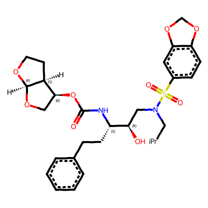 CC(C)CN(C[C@@H](O)[C@H](CCc1ccccc1)NC(=O)O[C@H]1CO[C@H]2OCC[C@H]21)S(=O)(=O)c1ccc2c(c1)OCO2